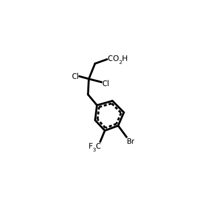 O=C(O)CC(Cl)(Cl)Cc1ccc(Br)c(C(F)(F)F)c1